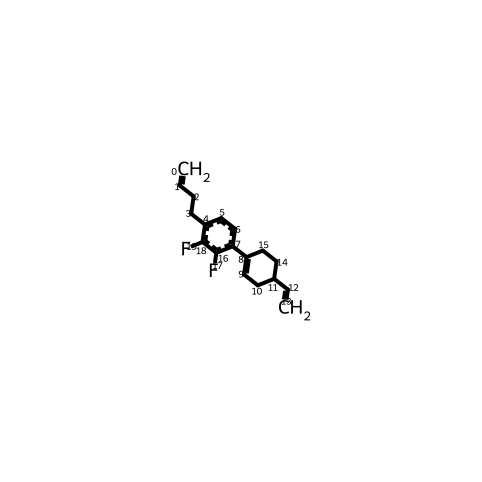 C=CCCc1ccc(C2=CCC(C=C)CC2)c(F)c1F